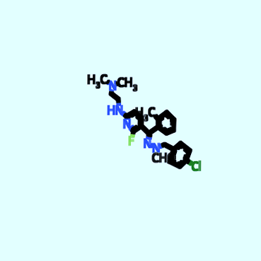 Cc1ccccc1/C(=N\N(C=O)Cc1ccc(Cl)cc1)c1ccc(NCCN(C)C)nc1F